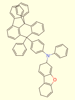 C1=Cc2oc3c(c2CC1)=CCC(N(c1ccccc1)c1ccc(C2(c4ccccc4)c4ccccc4C4(c5ccccc5)c5ccccc5-c5cccc2c54)cc1)C=3